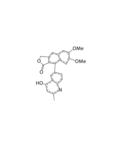 COc1cc2cc3c(c(-c4ccc5nc(C)cc(O)c5c4)c2cc1OC)C(=O)OC3